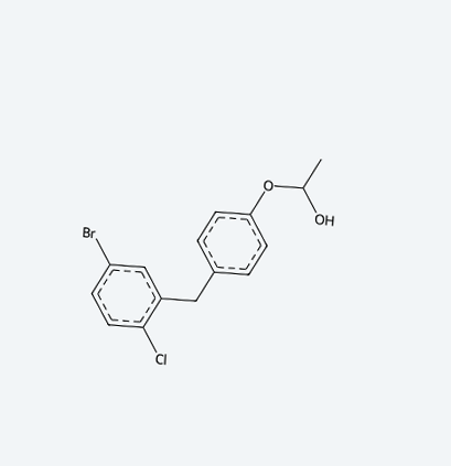 CC(O)Oc1ccc(Cc2cc(Br)ccc2Cl)cc1